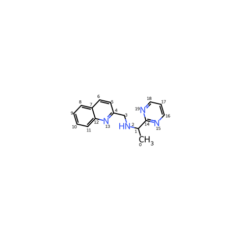 CC(NCc1ccc2ccccc2n1)c1ncccn1